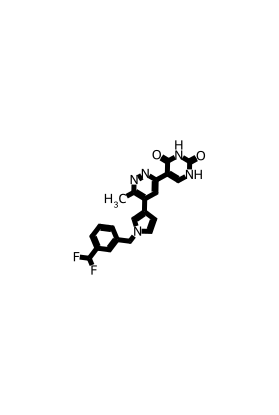 Cc1nnc(-c2c[nH]c(=O)[nH]c2=O)cc1-c1ccn(Cc2cccc(C(F)F)c2)c1